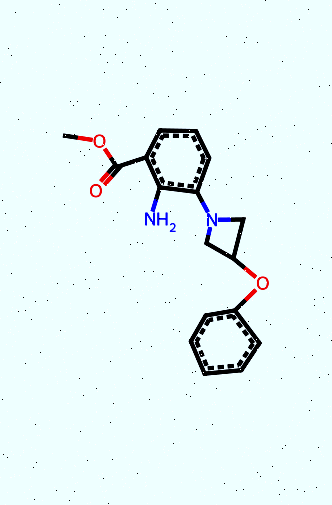 COC(=O)c1cccc(N2CC(Oc3ccccc3)C2)c1N